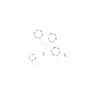 NC(=O)c1cc(-c2cccnc2[C@H](Cc2cc(F)cc(F)c2)NC(=O)Cn2nc(C(F)(F)F)c3c2CCC3)ccc1F